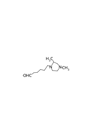 CC1CN(C)CCN1CCCCC[C]=O